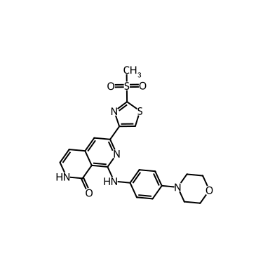 CS(=O)(=O)c1nc(-c2cc3cc[nH]c(=O)c3c(Nc3ccc(N4CCOCC4)cc3)n2)cs1